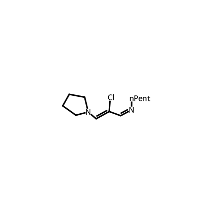 CCCCC/N=C\C(Cl)=C\N1CCCC1